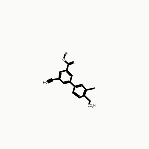 C#Cc1cc(C(=O)OC(C)C)cc(-c2ccc(CC(=O)O)c(F)c2)c1